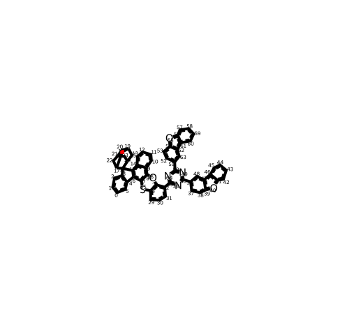 c1ccc2c(c1)-c1c3c(c4ccccc4c1C21C2CC4CC(C2)CC1C4)Oc1c(cccc1-c1nc(-c2ccc4oc5ccccc5c4c2)nc(-c2ccc4oc5ccccc5c4c2)n1)S3